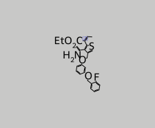 C=C(N)c1c(COc2cccc(OCc3ccccc3F)c2)csc1/C(=C\C)C(=O)OCC